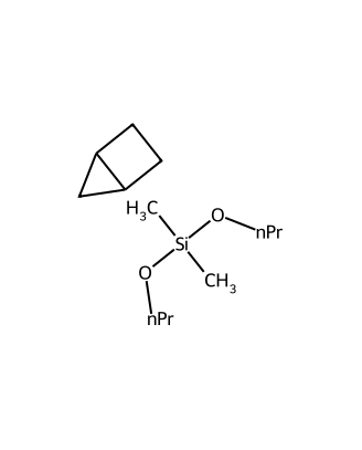 C1CC2CC12.CCCO[Si](C)(C)OCCC